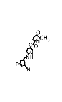 CN1N=C(C(=O)Oc2ccc(NCc3cc(F)cc(C#N)c3)nc2)CCC1=O